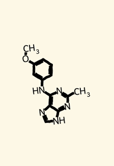 COc1cccc(Nc2nc(C)nc3[nH]cnc23)c1